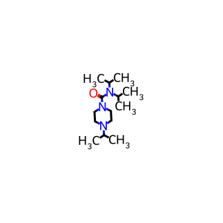 CC(C)N1CCN(C(=O)N(C(C)C)C(C)C)CC1